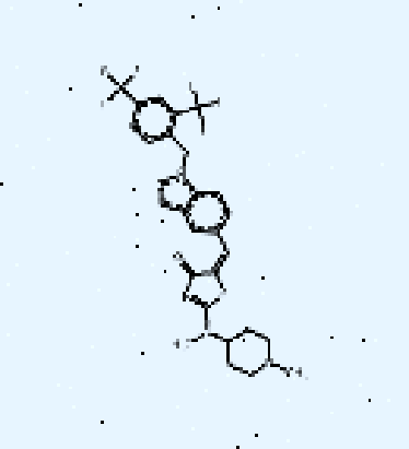 CN1CCC(N(C)C2=NC(=O)C(=Cc3ccc4c(cnn4Cc4ccc(C(F)(F)F)cc4C(F)(F)F)c3)S2)CC1